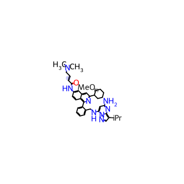 CO[C@@H]1CCCCC1c1cc2cc(NC(=O)/C=C/CN(C)C)ccc2c(-c2ccccc2CNc2cc(N)nc3c(C(C)C)cnn23)n1